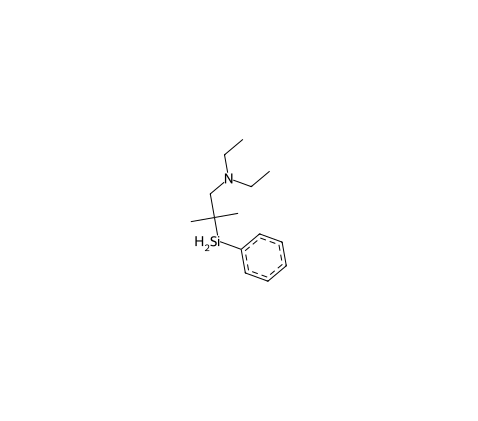 CCN(CC)CC(C)(C)[SiH2]c1ccccc1